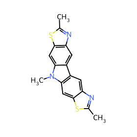 Cc1nc2cc3c4cc5nc(C)sc5cc4n(C)c3cc2s1